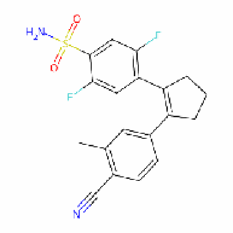 Cc1cc(C2=C(c3cc(F)c(S(N)(=O)=O)cc3F)CCC2)ccc1C#N